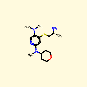 C[C@@H](N)CSc1cc(N(C)C2CCOCC2)ncc1N(C)C=O